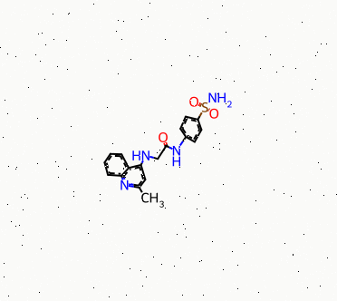 Cc1cc(NCC(=O)Nc2ccc(S(N)(=O)=O)cc2)c2ccccc2n1